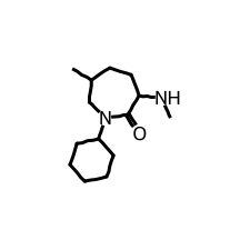 CNC1CCC(C)CN(C2CCCCC2)C1=O